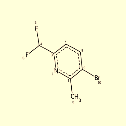 Cc1nc(C(F)F)ccc1Br